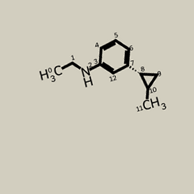 CCNc1cccc([C@@H]2CC2C)c1